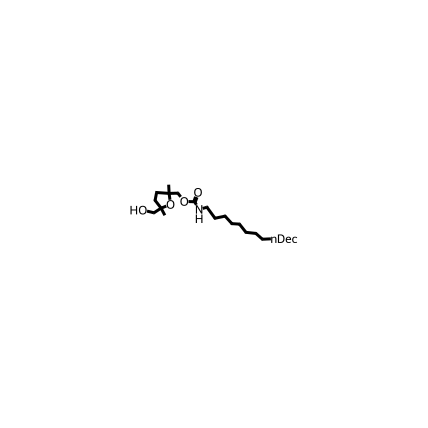 CCCCCCCCCCCCCCCCCCNC(=O)OCC1(C)CCC(C)(CO)O1